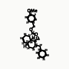 COc1ccc(COC(=O)[C@H]2CC=C[C@H]3CCN(Cc4ccccc4)C(=O)[C@@H]23)cc1